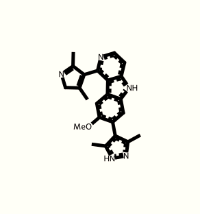 COc1cc2c(cc1-c1c(C)n[nH]c1C)[nH]c1ccnc(C3=C(C)CN=C3C)c12